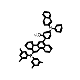 Cc1cc(C)cc(B(c2cc(C)cc(C)c2)c2cc3c4ccccc4c(-c4ccc(N(c5ccccc5)c5ccc6ccccc6c5)cc4O)cc3c3ccccc23)c1